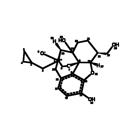 [O-][N+]1(CC2CC2)CC[C@]23c4c5ccc(O)c4O[C@H]2[C@@H](CO)CCC3(O)[C@H]1C5